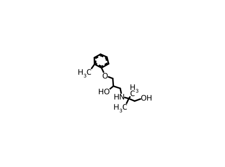 Cc1ccccc1OCC(O)CNC(C)(C)CO